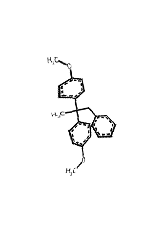 COc1ccc(C(C)(Cc2cc[c]cc2)c2ccc(OC)cc2)cc1